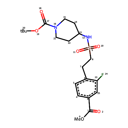 COC(=O)c1ccc(CCS(=O)(=O)NC2CCN(C(=O)OC(C)(C)C)CC2)c(F)c1